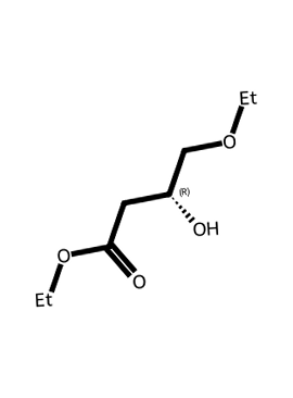 CCOC[C@H](O)CC(=O)OCC